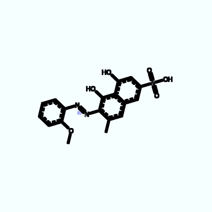 COc1ccccc1/N=N/c1c(C)cc2cc(S(=O)(=O)O)cc(O)c2c1O